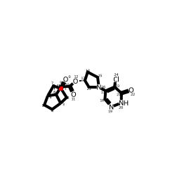 O=C1CC2CCC(C1)C2NC(=O)O[C@@H]1CCN(c2cn[nH]c(=O)c2Cl)C1